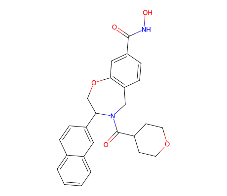 O=C(NO)c1ccc2c(c1)OCC(c1ccc3ccccc3c1)N(C(=O)C1CCOCC1)C2